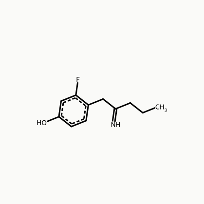 CCCC(=N)Cc1ccc(O)cc1F